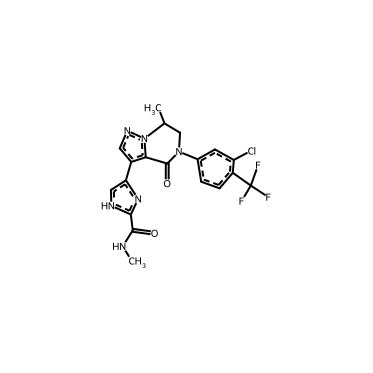 CNC(=O)c1nc(-c2cnn3c2C(=O)N(c2ccc(C(F)(F)F)c(Cl)c2)CC3C)c[nH]1